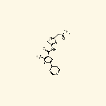 CC(=O)Cc1nsc(NC(=O)c2cc(-c3ccncc3)oc2C)n1